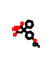 COc1ccc(C(CC(=O)O)(C(=O)O)c2ccccc2)cc1